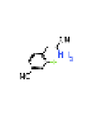 N#Cc1ccc(CC(N)C#N)c(F)c1